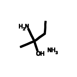 CCC(C)(N)O.N